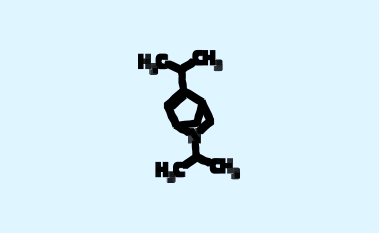 CC(C)C1=CC2CC1CN2C(C)C